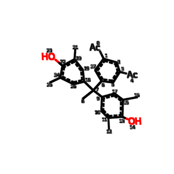 CC(=O)c1cc(C(C)=O)cc(C(C)(c2cc(C)c(O)c(C)c2)c2cc(C)c(O)c(C)c2)c1